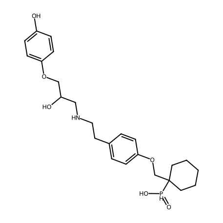 O=[PH](O)C1(COc2ccc(CCNCC(O)COc3ccc(O)cc3)cc2)CCCCC1